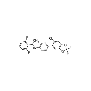 CC(Nc1ccc(-c2cc3c(cc2Cl)OC(F)(F)O3)cc1)c1c(F)cccc1F